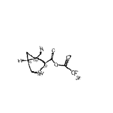 O=C(OC(=O)C(F)(F)F)[C@H]1NC[C@@H]2C[C@@H]21